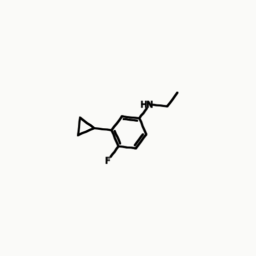 CCNc1ccc(F)c(C2CC2)c1